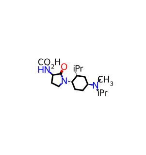 CC(C)[C@@H]1C[C@@H](N(C)C(C)C)CC[C@@H]1N1CCC(NC(=O)O)C1=O